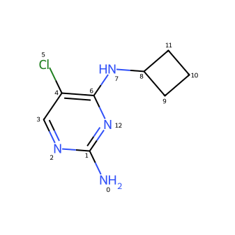 Nc1ncc(Cl)c(NC2CCC2)n1